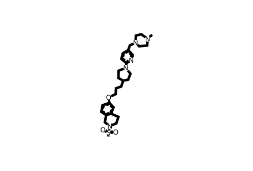 CN1CCN(Cc2ccc(N3CCC(CCCOc4ccc5c(c4)CCN(S(C)(=O)=O)C5)CC3)nc2)CC1